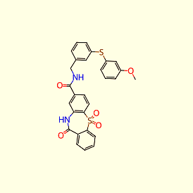 COc1cccc(Sc2cccc(CNC(=O)c3ccc4c(c3)NC(=O)c3ccccc3S4(=O)=O)c2)c1